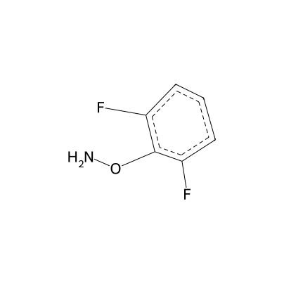 NOc1c(F)cccc1F